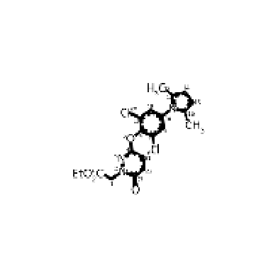 CCOC(=O)Cn1nc(Oc2c(Cl)cc(-n3c(C)ccc3C)cc2Cl)ccc1=O